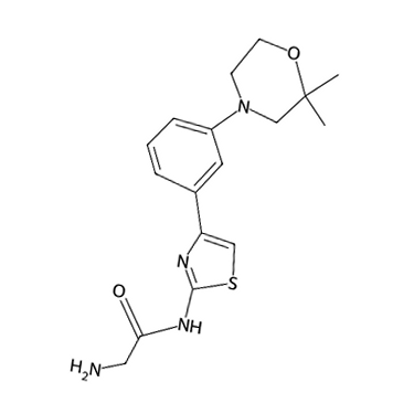 CC1(C)CN(c2cccc(-c3csc(NC(=O)CN)n3)c2)CCO1